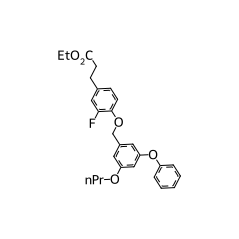 CCCOc1cc(COc2ccc(CCC(=O)OCC)cc2F)cc(Oc2ccccc2)c1